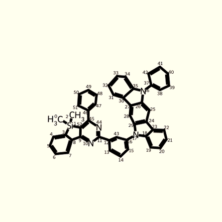 C[Si]1(C)c2ccccc2-c2nc(-c3cccc(-n4c5ccccc5c5cc6c(cc54)c4ccccc4n6-c4ccccc4)c3)nc(-c3ccccc3)c21